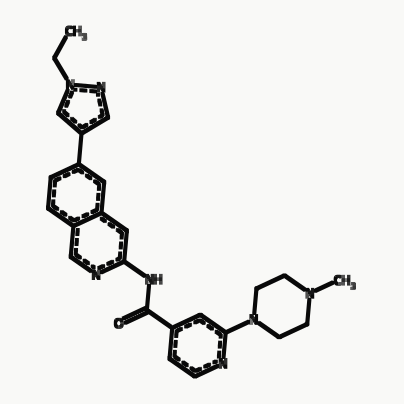 CCn1cc(-c2ccc3cnc(NC(=O)c4ccnc(N5CCN(C)CC5)c4)cc3c2)cn1